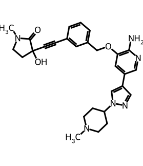 CN1CCC(n2cc(-c3cnc(N)c(OCc4cccc(C#CC5(O)CCN(C)C5=O)c4)c3)cn2)CC1